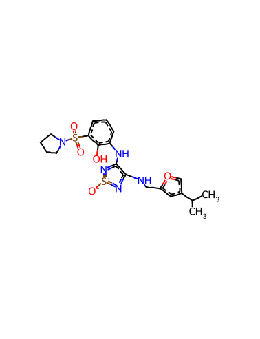 CC(C)c1coc(CNc2n[s+]([O-])nc2Nc2cccc(S(=O)(=O)N3CCCC3)c2O)c1